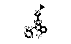 O=c1nccncc1Nc1nc2c(C(F)(F)F)cccc2c2nc(-c3cnn(C4CC4)c3)nn12